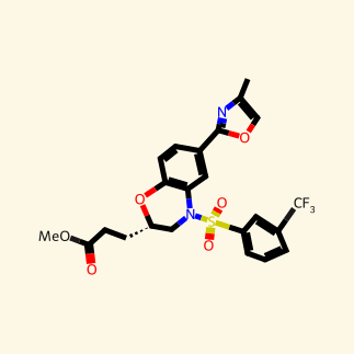 COC(=O)CC[C@H]1CN(S(=O)(=O)c2cccc(C(F)(F)F)c2)c2cc(-c3nc(C)co3)ccc2O1